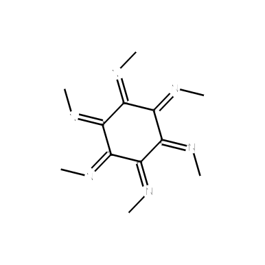 CN=C1C(=NC)C(=NC)C(=NC)C(=NC)C1=NC